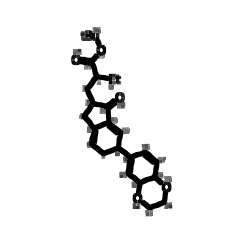 CCC(CC1CC2=CCC(C3=CC4OCCOC4C=C3)C=C2C1=O)C(=O)OC(C)(C)C